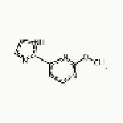 COc1nccc(-c2ncc[nH]2)n1